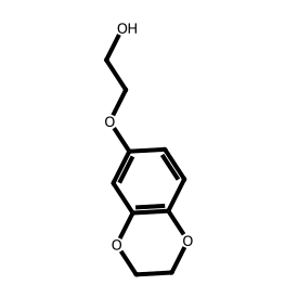 OCCOc1ccc2c(c1)OCCO2